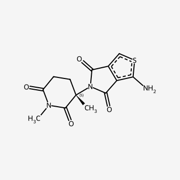 CN1C(=O)CC[C@](C)(N2C(=O)c3csc(N)c3C2=O)C1=O